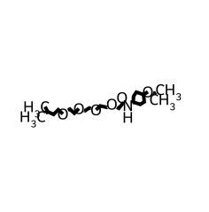 CC(C)CCOCCOCCOCCOCC(=O)NC1CCC(OC(C)C)CC1